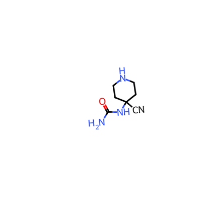 N#CC1(NC(N)=O)CCNCC1